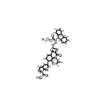 COC(=O)N(CCc1nc2c(=O)n(C3CC3)c3c(C)c(-c4cnc5c(cnn5C(=O)O)c4)ccc3c2o1)C1c2ccccc2-c2ccccc21